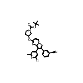 Cc1cc(-c2c(-c3cccc(C#N)c3)nn3ccc(OC4CCN(C(=O)OC(C)(C)C)C4)nc23)cc(Cl)n1